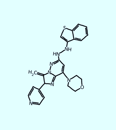 C=C1C(c2ccncc2)N=C2C(N3CCOCC3)=CC(NNc3csc4ccccc34)=NN12